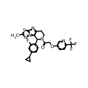 Cc1nn2c3c(nc2s1)CCN(C(=O)COc1ccc(C(F)(F)F)nc1)C3c1ccc(C2CC2)cc1F